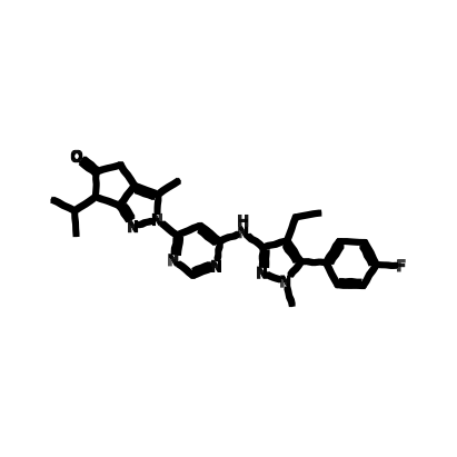 CCc1c(Nc2cc(-n3nc4c(c3C)CC(=O)C4C(C)C)ncn2)nn(C)c1-c1ccc(F)cc1